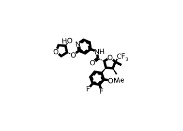 COc1c([C@H]2[C@H](C(=O)Nc3ccnc(O[C@@H]4COC[C@@H]4O)c3)O[C@@](C)(C(F)(F)F)[C@H]2C)ccc(F)c1F